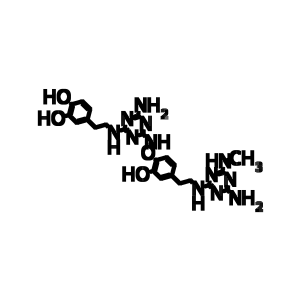 CNc1nc(N)nc(NCCc2ccc(ONc3nc(N)nc(NCCc4ccc(O)c(O)c4)n3)c(O)c2)n1